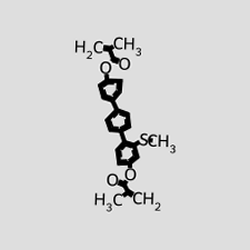 C=C(C)C(=O)Oc1ccc(-c2ccc(-c3ccc(OC(=O)C(=C)C)cc3SC)cc2)cc1